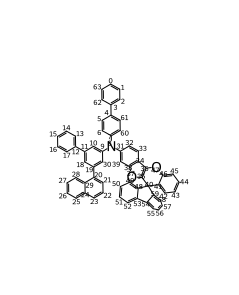 c1ccc(-c2ccc(N(c3cc(-c4ccccc4)cc(-c4cccc5ccccc45)c3)c3ccc4c5c(oc4c3)C3(c4ccccc4O5)c4ccccc4-c4ccccc43)cc2)cc1